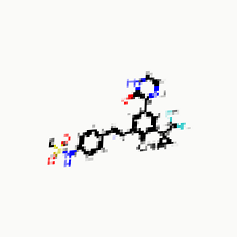 COc1c(/C=C/c2ccc(NS(C)(=O)=O)cc2)cc(-c2ncc[nH]c2=O)cc1C1(C(F)F)CC1